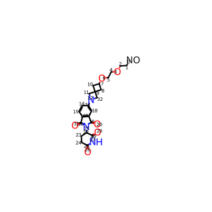 O=NCCOCCOC1CC2(C1)CN(c1ccc3c(c1)C(=O)N(C1CCC(=O)NC1=O)C3=O)C2